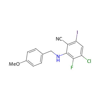 COc1ccc(CNc2c(F)c(Cl)cc(I)c2C#N)cc1